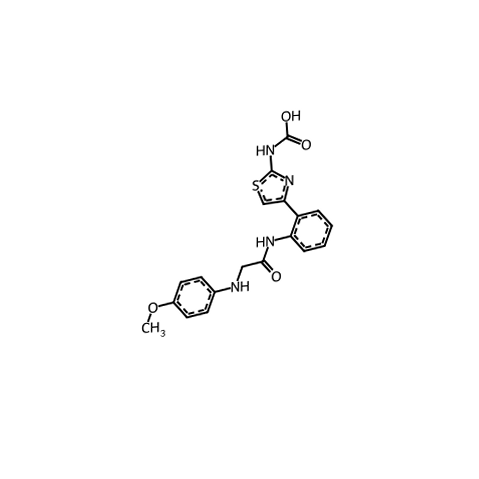 COc1ccc(NCC(=O)Nc2ccccc2-c2csc(NC(=O)O)n2)cc1